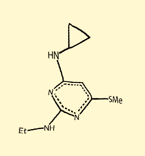 CCNc1nc(NC2CC2)cc(SC)n1